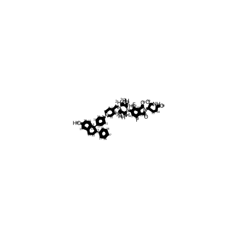 [2H]C1([2H])N(CC2CCN(c3ccc([C@@H]4c5ccc(O)cc5CC[C@@H]4c4ccccc4)cc3)CC2)C([2H])([2H])C([2H])([2H])N(c2cc(F)c3c(c2F)C(=O)N(C2CCC(=O)NC2=O)C3=O)C1([2H])[2H]